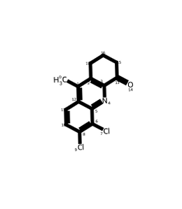 Cc1c2c(nc3c(Cl)c(Cl)ccc13)C(=O)CCC2